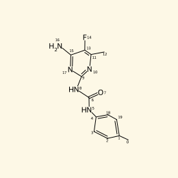 Cc1ccc(NC(=O)Nc2nc(C)c(F)c(N)n2)cc1